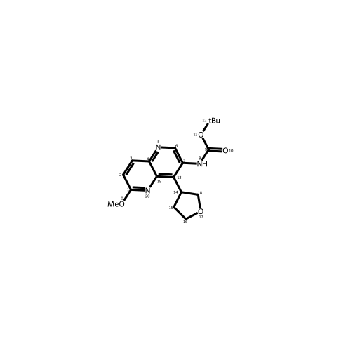 COc1ccc2ncc(NC(=O)OC(C)(C)C)c(C3CCOC3)c2n1